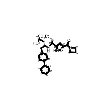 CCOC(=O)[C@H](O)C[C@@H](Cc1ccc(-c2ccccc2)cc1)NC(=O)c1cc(C(=O)N2CCC2)n[nH]1